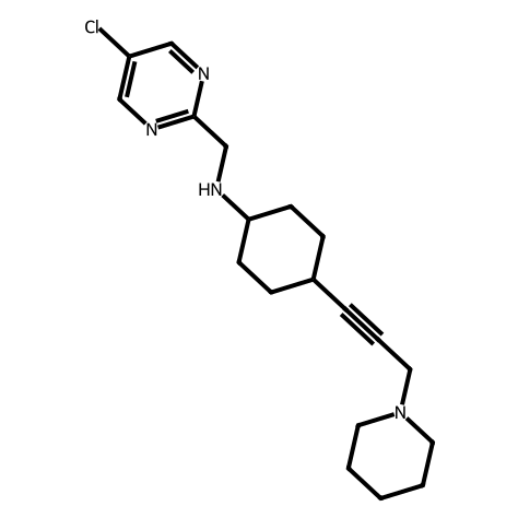 Clc1cnc(CNC2CCC(C#CCN3CCCCC3)CC2)nc1